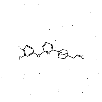 O=CCC12CCC(c3cccc(Oc4ccc(F)c(F)c4)n3)(CC1)OC2